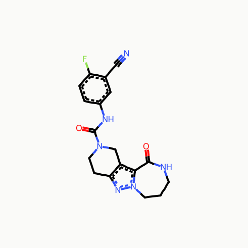 N#Cc1cc(NC(=O)N2CCc3nn4c(c3C2)C(=O)NCCC4)ccc1F